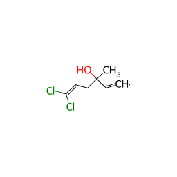 [CH]=CC(C)(O)CC=C(Cl)Cl